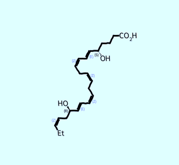 CC/C=C\C[C@@H](O)/C=C/C=C\C/C=C\C/C=C\C=C\[C@@H](O)CCCC(=O)O